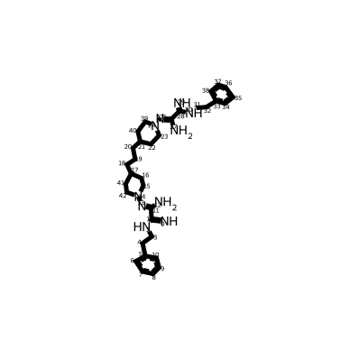 N=C(NCCc1ccccc1)C(N)=NN1CCC(CCCC2CCN(N=C(N)C(=N)NCCc3ccccc3)CC2)CC1